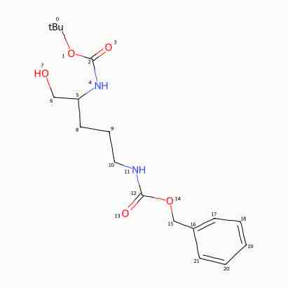 CC(C)(C)OC(=O)NC(CO)CCCNC(=O)OCc1ccccc1